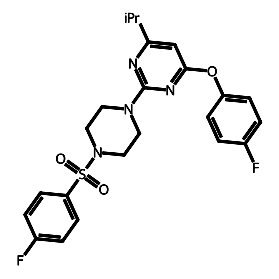 CC(C)c1cc(Oc2ccc(F)cc2)nc(N2CCN(S(=O)(=O)c3ccc(F)cc3)CC2)n1